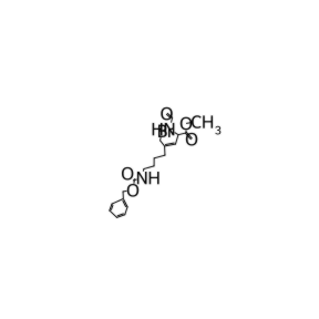 COC(=O)C(C=C(CBr)CCCCNC(=O)OCc1ccccc1)NC=O